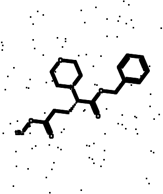 CC(C)(C)OC(=O)CC[C@@H](C(=O)OCc1ccccc1)N1CCOCC1